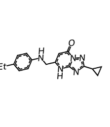 CCc1ccc(NCc2cc(=O)n3nc(C4CC4)nc3[nH]2)cc1